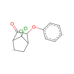 O=C1C(Oc2cc[c]cc2)C2C[CH]C1C2(Cl)Cl